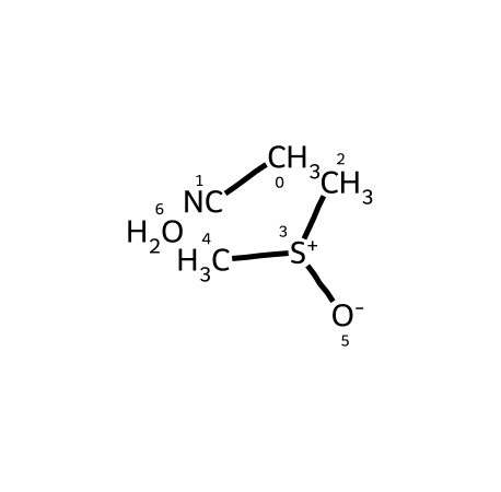 CC#N.C[S+](C)[O-].O